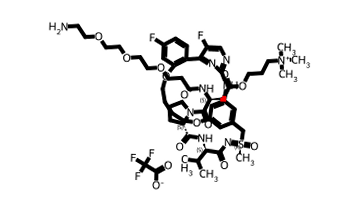 CC(C)[C@H](NC(=O)[C@@H]1CCCN1C(=O)[C@H](CC(=O)OCCC[N+](C)(C)C)NC(=O)CCOCCOCCOCCN)C(=O)N=[S@](C)(=O)Cc1cc2cc(c1)OCCCCOc1cc(F)ccc1-c1nc(ncc1F)N2.O=C([O-])C(F)(F)F